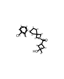 Cc1c(Cl)cccc1[C@@H]1CCC2(C1)CN(C(=O)C1CC(C)(O)C1)C2